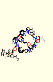 CN1CCCN(C)c2ccc(cn2)-c2ccnc(n2)N(COCCS(C)(C)C)c2cccc(c2)CN2CCN(CC1=O)CC2COCCN1CCOCC1